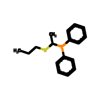 CCCSC(C)P(c1ccccc1)c1ccccc1